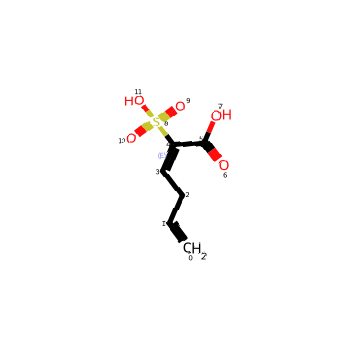 C=CC/C=C(\C(=O)O)S(=O)(=O)O